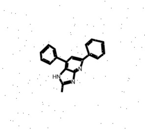 Cc1nc2nc(-c3ccccc3)cc(-c3ccccc3)c2[nH]1